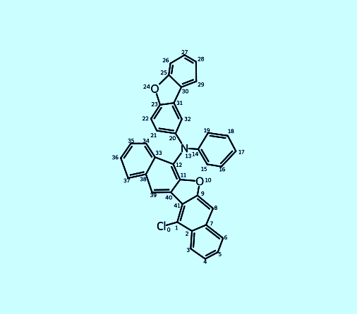 Clc1c2ccccc2cc2oc3c(N(c4ccccc4)c4ccc5oc6ccccc6c5c4)c4ccccc4cc3c12